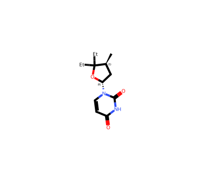 CCC1(CC)O[C@@H](n2ccc(=O)[nH]c2=O)C[C@@H]1C